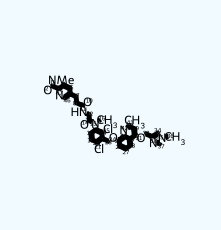 CNC(=O)c1ccc(CCC(=O)NCC(=O)N(C)c2ccc(Cl)c(COc3cccc4c(OCc5cn(C)cn5)cc(C)nc34)c2Cl)cn1